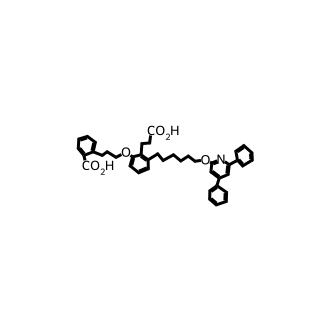 O=C(O)CCc1c(CCCCCCOc2cc(-c3ccccc3)cc(-c3ccccc3)n2)cccc1OCCCc1ccccc1C(=O)O